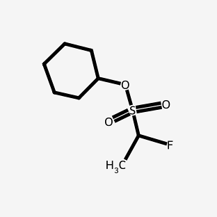 CC(F)S(=O)(=O)OC1CCCCC1